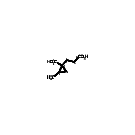 CC1CC1(CCC(=O)O)C(=O)O